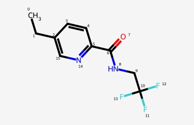 CCc1ccc(C(=O)NCC(F)(F)F)nc1